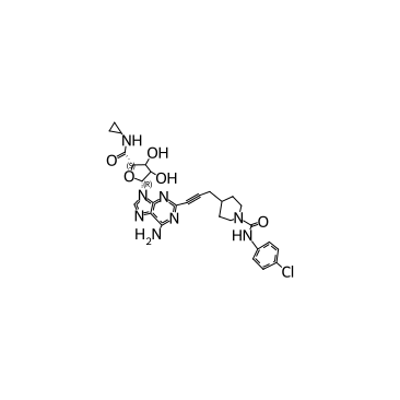 Nc1nc(C#CCC2CCN(C(=O)Nc3ccc(Cl)cc3)CC2)nc2c1ncn2[C@@H]1O[C@H](C(=O)NC2CC2)C(O)C1O